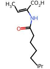 CC=C(NC(=O)CCCCC(C)C)C(=O)O